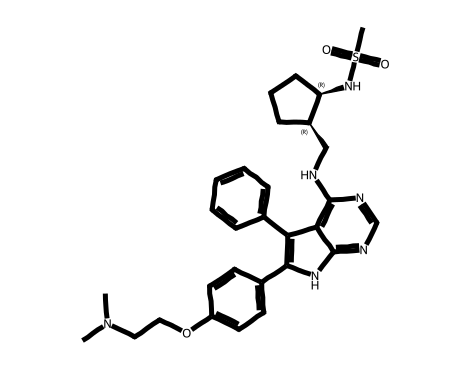 CN(C)CCOc1ccc(-c2[nH]c3ncnc(NC[C@H]4CCC[C@H]4NS(C)(=O)=O)c3c2-c2ccccc2)cc1